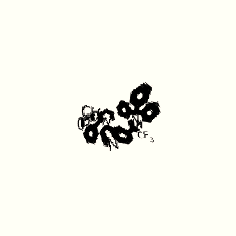 CS(=O)(=O)c1ccccc1C1C[CH]CCN1c1ccnc2ccc(-c3cn(C(c4ccccc4)(c4ccccc4)c4ccccc4)nc3C(F)(F)F)cc12